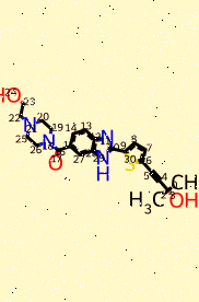 CC(C)(O)C#Cc1ccc(-c2nc3ccc(C(=O)N4CCN(CCO)CC4)cc3[nH]2)s1